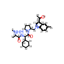 CNC(C)C(=O)NC(C(=O)N1CCCC1Cn1cc(C(C)=O)c2cc(C)ccc21)C1CCCCC1